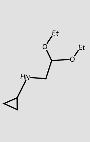 CCOC(CNC1CC1)OCC